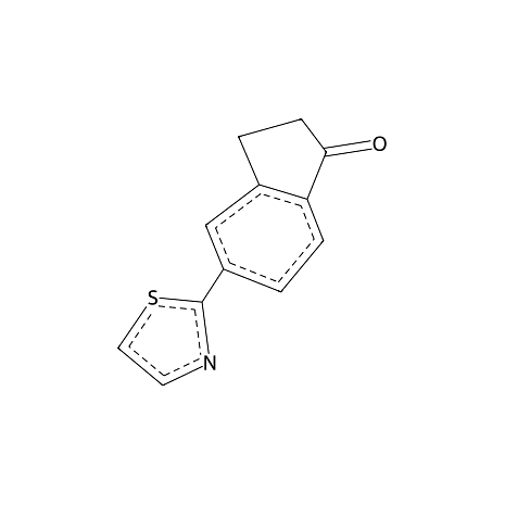 O=C1CCc2cc(-c3nccs3)ccc21